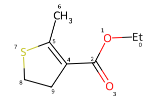 CCOC(=O)C1=C(C)SCC1